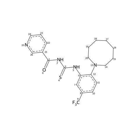 O=C(NC(=S)Nc1cc(C(F)(F)F)ccc1N1CCCCCCC1)c1cccnc1